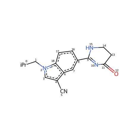 CC(C)Cn1cc(C#N)c2cc(C3=NC(=O)CCN3)ccc21